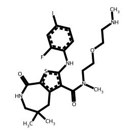 CNCCOCCN(C)C(=O)c1c(Nc2ccc(I)cc2F)sc2c1CC(C)(C)CNC2=O